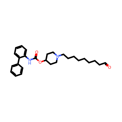 O=CCCCCCCCCN1CCC(OC(=O)Nc2ccccc2-c2ccccc2)CC1